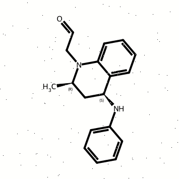 C[C@@H]1C[C@H](Nc2ccccc2)c2ccccc2N1CC=O